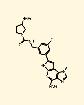 CNc1nc2[nH]c(-c3cc(F)cc(CNC(=O)N4CCC(NC(C)=O)C4)c3)cc2c2c1ncn2C